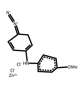 COc1ccc(NC2=CCC(=[N+]=[N-])C=C2)cc1.[Cl-].[Cl-].[Zn+2]